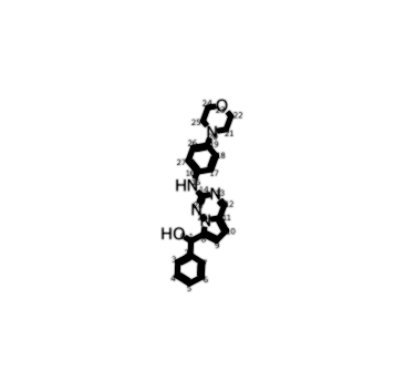 OC(c1ccccc1)c1ccc2cnc(Nc3ccc(N4CCOCC4)cc3)nn12